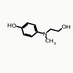 CN(CCO)c1ccc(O)cc1